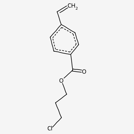 C=Cc1ccc(C(=O)OCCCCl)cc1